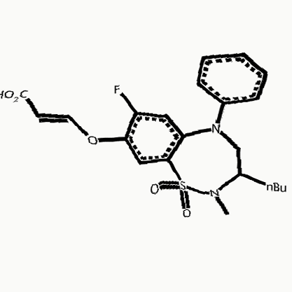 CCCCC1CN(c2ccccc2)c2cc(F)c(O/C=C/C(=O)O)cc2S(=O)(=O)N1C